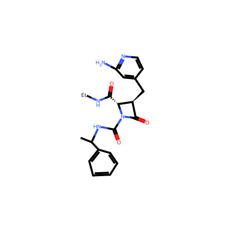 CCNC(=O)[C@@H]1[C@@H](Cc2ccnc(N)c2)C(=O)N1C(=O)NC(C)c1ccccc1